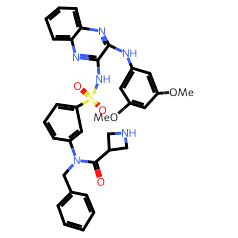 COc1cc(Nc2nc3ccccc3nc2NS(=O)(=O)c2cccc(N(Cc3ccccc3)C(=O)C3CNC3)c2)cc(OC)c1